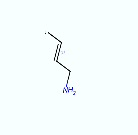 [CH]/C=C/CN